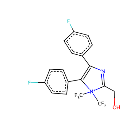 OCC1=NC(c2ccc(F)cc2)=C(c2ccc(F)cc2)[N+]1(C(F)(F)F)C(F)(F)F